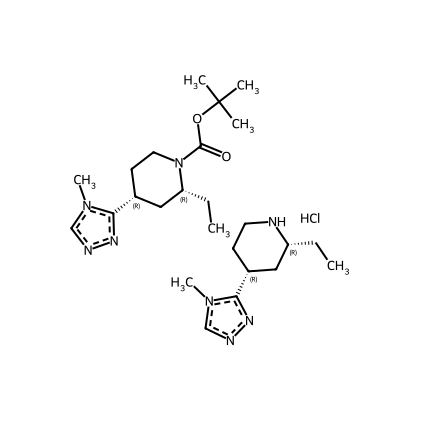 CC[C@@H]1C[C@H](c2nncn2C)CCN1.CC[C@@H]1C[C@H](c2nncn2C)CCN1C(=O)OC(C)(C)C.Cl